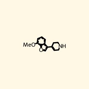 COc1cccc2c(C3=CCNCC3)coc12